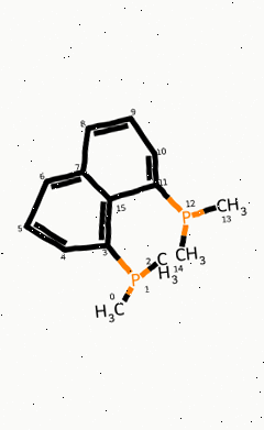 CP(C)c1cccc2cccc(P(C)C)c12